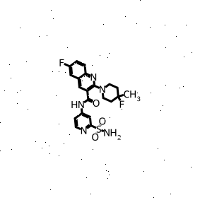 CC1(F)CCN(c2nc3ccc(F)cc3cc2C(=O)Nc2ccnc(S(N)(=O)=O)c2)CC1